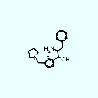 NC(Cc1ccccc1)C(O)c1ccc(CN2CCCC2)s1